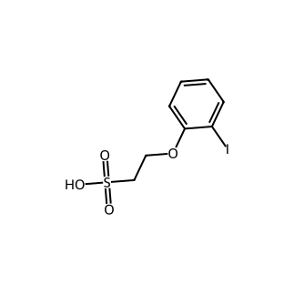 O=S(=O)(O)CCOc1ccccc1I